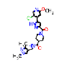 COc1cc(-c2cc(C(=O)N3CCC(C(=O)NCc4cn(C)nc4C)CC3)n[nH]2)c(Cl)cn1